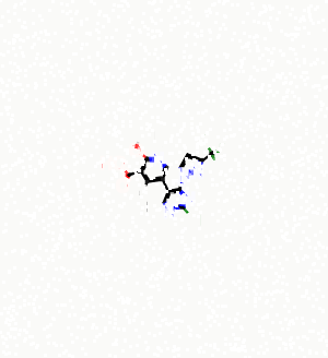 COc1ncc(-c2cnc(Cl)nc2-n2ccc(C(F)(F)F)n2)c(C)c1C(=O)O